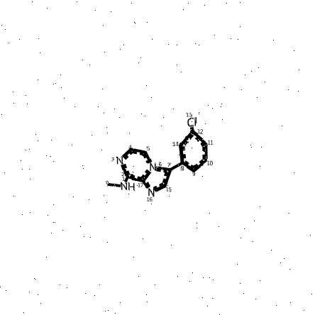 CNc1nccn2c(-c3cccc(Cl)c3)cnc12